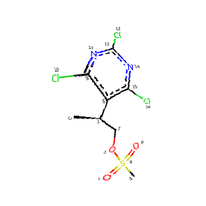 C[C@H](COS(C)(=O)=O)c1c(Cl)nc(Cl)nc1Cl